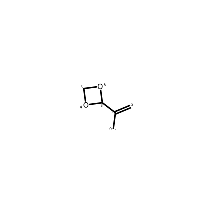 [CH2]C(=C)C1OCO1